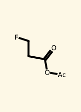 CC(=O)OC(=O)CCF